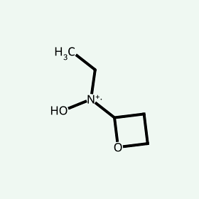 CC[N+](O)C1CCO1